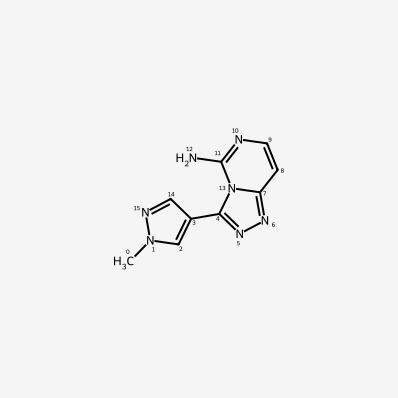 Cn1cc(-c2nnc3ccnc(N)n23)cn1